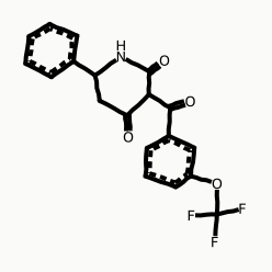 O=C1CC(c2ccccc2)NC(=O)C1C(=O)c1cccc(OC(F)(F)F)c1